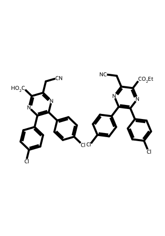 CCOC(=O)c1nc(-c2ccc(Cl)cc2)c(-c2ccc(Cl)cc2)nc1CC#N.N#CCc1nc(-c2ccc(Cl)cc2)c(-c2ccc(Cl)cc2)nc1C(=O)O